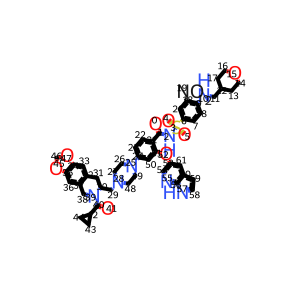 O=C(NS(=O)(=O)c1ccc(NCC2CCOCC2)c([N+](=O)[O-])c1)c1ccc(N2CCN(CC3Cc4cc5c(cc4CN3C(=O)C3CC3)OCO5)CC2)cc1Oc1cnc2[nH]ccc2c1